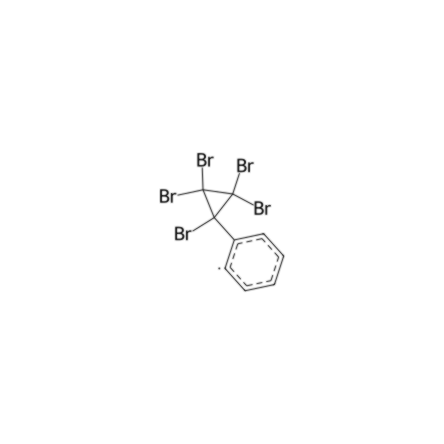 BrC1(Br)C(Br)(Br)C1(Br)c1[c]cccc1